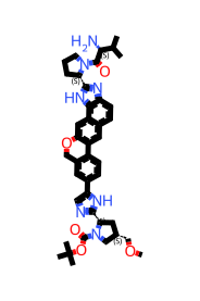 COC[C@H]1C[C@@H](c2ncc(-c3ccc4c(c3)COc3cc5c(ccc6nc([C@@H]7CCCN7C(=O)[C@@H](N)C(C)C)[nH]c65)cc3-4)[nH]2)N(C(=O)OC(C)(C)C)C1